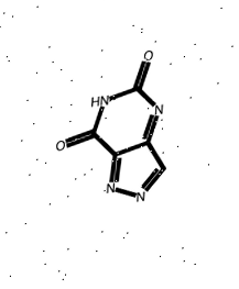 O=C1N=C2C=NN=C2C(=O)N1